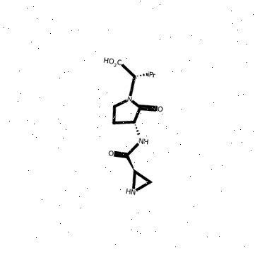 CC(C)[C@@H](C(=O)O)N1CC[C@@H](NC(=O)[C@H]2CN2)C1=O